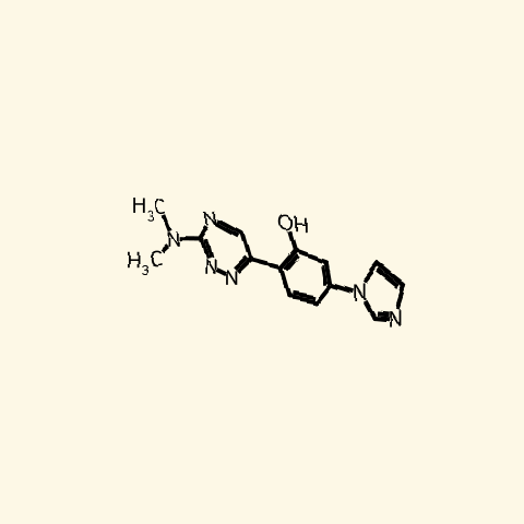 CN(C)c1ncc(-c2ccc(-n3ccnc3)cc2O)nn1